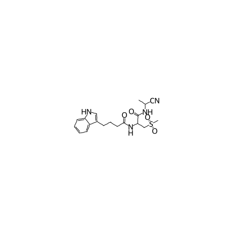 CC(C#N)NC(=O)C(CS(C)(=O)=O)NC(=O)CCCc1c[nH]c2ccccc12